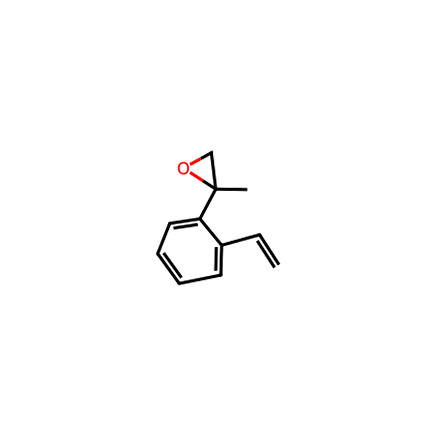 C=Cc1ccccc1C1(C)CO1